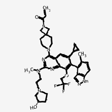 C=CC(=O)N1CC2(CCN(c3nc(N(C)CCN4CC[C@H](O)C4)nc4c(OCC(F)(F)F)c(-c5c(C)ccc6[nH]ncc56)c(C5CC5)cc34)CC2)C1